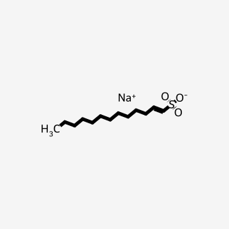 CCCCCCCCCCCC=CS(=O)(=O)[O-].[Na+]